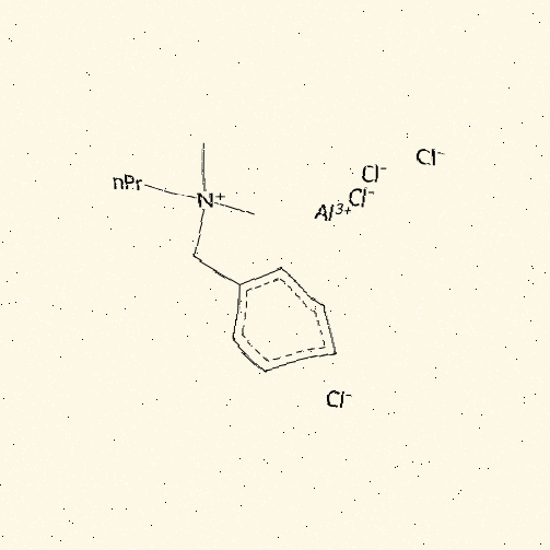 CCC[N+](C)(C)Cc1ccccc1.[Al+3].[Cl-].[Cl-].[Cl-].[Cl-]